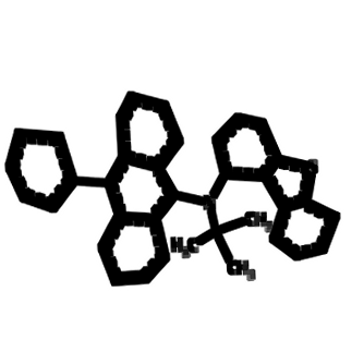 CC(C)(C)N(c1c2ccccc2c(-c2ccccc2)c2ccccc12)c1cccc2sc3ccccc3c12